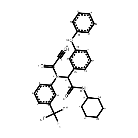 C#CC(=O)N(c1cccc(C(F)(F)F)c1)C(C(=O)NC1CCCCC1)c1cccc(Oc2ccccc2)c1